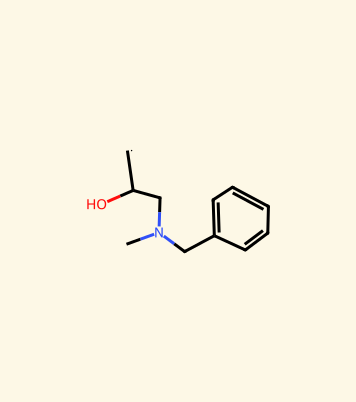 [CH2]C(O)CN(C)Cc1ccccc1